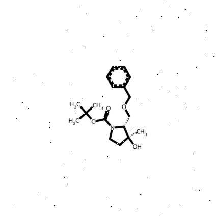 CC(C)(C)OC(=O)N1CC[C@](C)(O)[C@H]1COCc1ccccc1